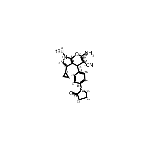 CC(C)(C)n1nc(C2CC2)c2c1OC(N)=C(C#N)C2c1ccc(N2CCCC2=O)cc1